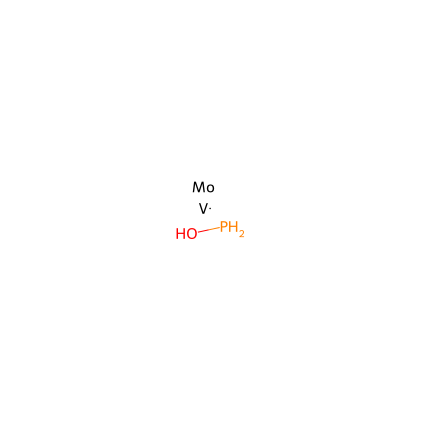 OP.[Mo].[V]